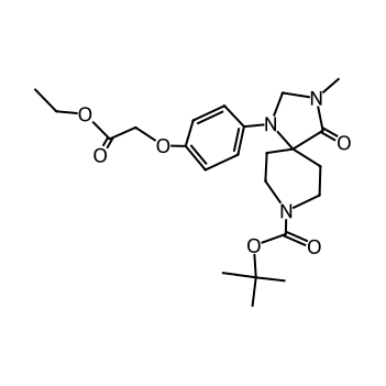 CCOC(=O)COc1ccc(N2CN(C)C(=O)C23CCN(C(=O)OC(C)(C)C)CC3)cc1